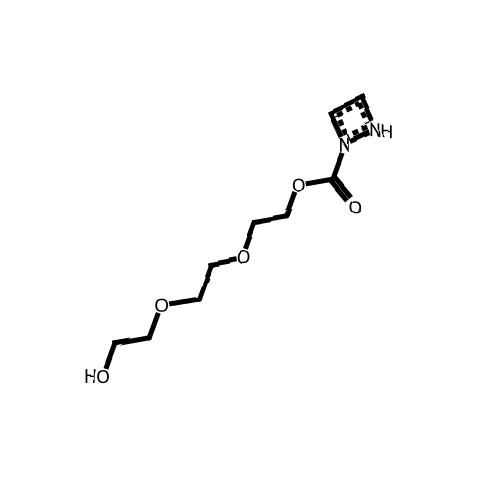 O=C(OCCOCCOCCO)n1cc[nH]1